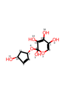 OC1=COC(O)(O[C@H]2C=C[C@@H](O)C2)C(O)=C1O